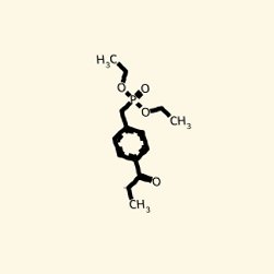 C[CH]C(=O)c1ccc(CP(=O)(OCC)OCC)cc1